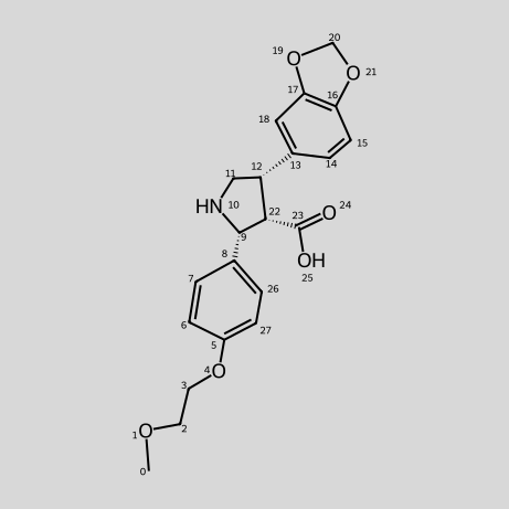 COCCOc1ccc([C@@H]2NC[C@H](c3ccc4c(c3)OCO4)[C@@H]2C(=O)O)cc1